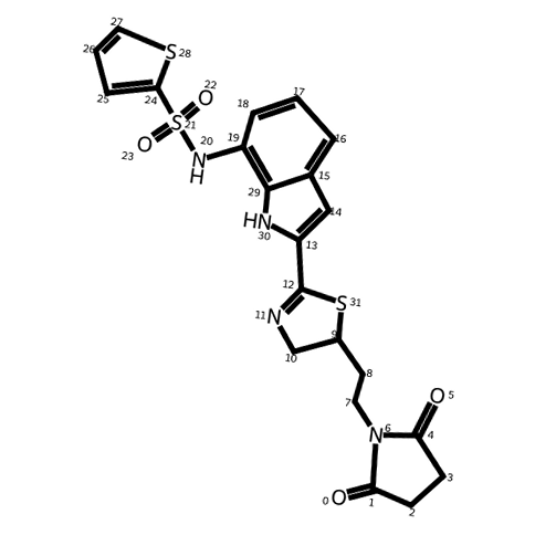 O=C1CCC(=O)N1CCC1CN=C(c2cc3cccc(NS(=O)(=O)c4cccs4)c3[nH]2)S1